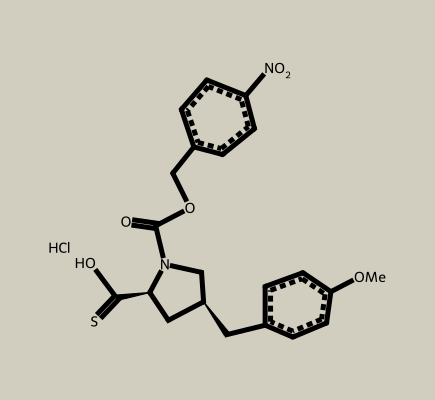 COc1ccc(C[C@H]2C[C@@H](C(O)=S)N(C(=O)OCc3ccc([N+](=O)[O-])cc3)C2)cc1.Cl